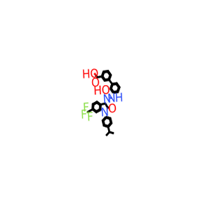 CC(C)c1ccc(N2C(=O)C(=NNc3cccc(-c4cccc(C(=O)O)c4)c3O)c3ccc(C(F)(F)F)cc32)cc1